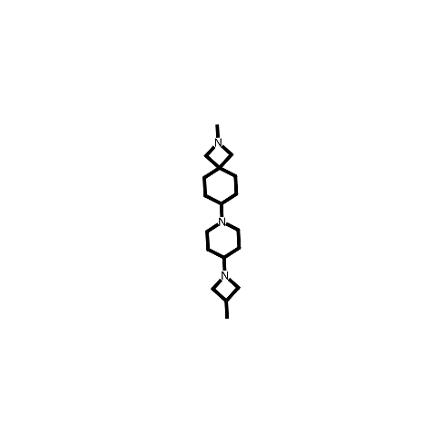 CC1CN(C2CCN(C3CCC4(CC3)CN(C)C4)CC2)C1